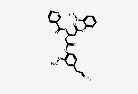 C=CCc1ccc(OC(=O)C[C@H](CC(=O)Oc2ccccc2OC)OC(=O)c2cccnc2)c(OC)c1